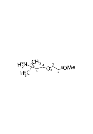 COCCOCCC(C)(C)N